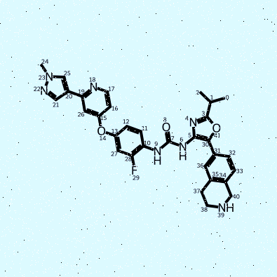 CC(C)c1nc(NC(=O)Nc2ccc(Oc3ccnc(-c4cnn(C)c4)c3)cc2F)c(-c2ccc3c(c2)CCNC3)o1